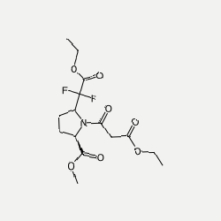 CCOC(=O)CC(=O)N1C(C(F)(F)C(=O)OCC)CC[C@@H]1C(=O)OC